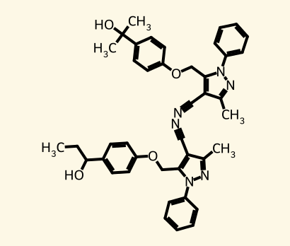 CCC(O)c1ccc(OCc2c(C#N)c(C)nn2-c2ccccc2)cc1.Cc1nn(-c2ccccc2)c(COc2ccc(C(C)(C)O)cc2)c1C#N